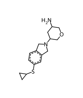 NC1COCC(N2Cc3ccc(SC4CC4)cc3C2)C1